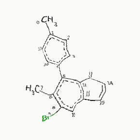 Cc1ccc(-c2c(C)c(Br)cc3c2CC=C3)cc1